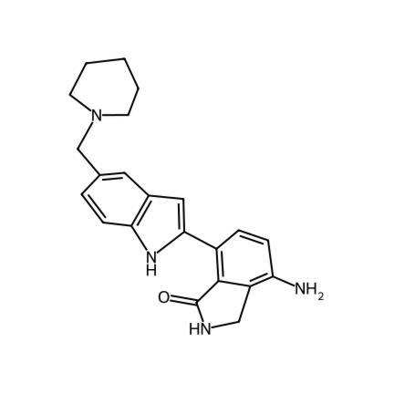 Nc1ccc(-c2cc3cc(CN4CCCCC4)ccc3[nH]2)c2c1CNC2=O